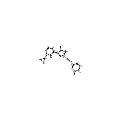 Cc1cc(C#Cc2cn(-c3ccnc(C4CC4)n3)c(C)n2)ccn1